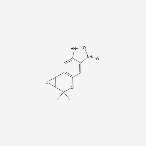 CC1(C)Oc2cc3c(cc2C2=C1O2)NO[NH+]3[O-]